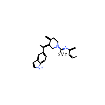 C=C(/C=C\C)/N=C(\SC)N1CCC(=C)/C(=C(\C)c2ccc3[nH]ccc3c2)C1